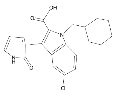 O=C(O)c1c(-c2ccc[nH]c2=O)c2cc(Cl)ccc2n1CC1CCCCC1